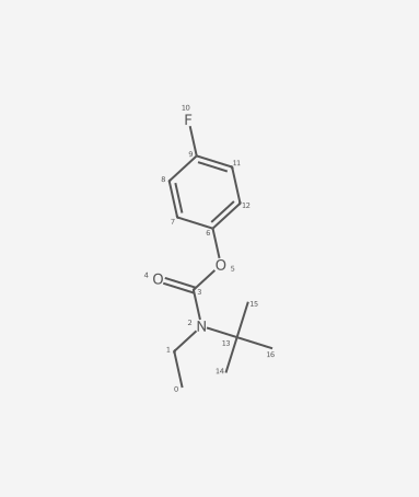 CCN(C(=O)Oc1ccc(F)cc1)C(C)(C)C